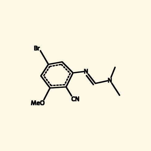 COc1cc(Br)cc(N=CN(C)C)c1C#N